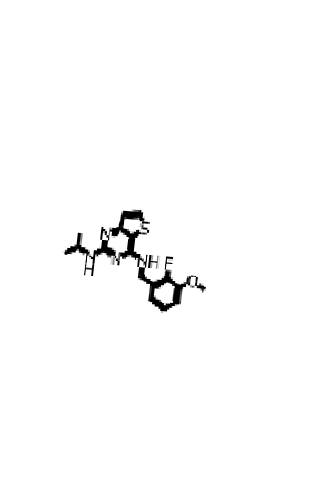 COc1cccc(CNc2nc(NC(C)C)nc3ccsc23)c1F